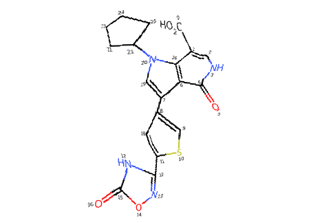 O=C(O)c1c[nH]c(=O)c2c(-c3csc(-c4noc(=O)[nH]4)c3)cn(C3CCCC3)c12